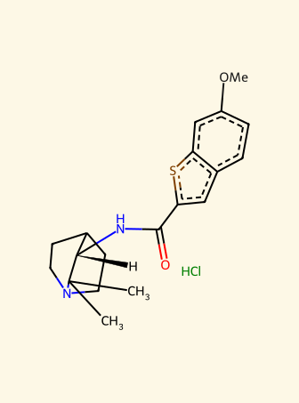 COc1ccc2cc(C(=O)N[C@H]3C4CCN(CC4)C3(C)C)sc2c1.Cl